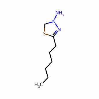 CCCCCCC1=NN(N)CS1